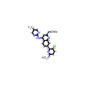 COCc1cc(Nc2ncc(C(F)(F)F)cn2)c2ccc(-c3nc(C(=O)O)ccc3Cl)cc2n1